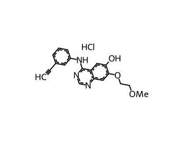 C#Cc1cccc(Nc2ncnc3cc(OCCOC)c(O)cc23)c1.Cl